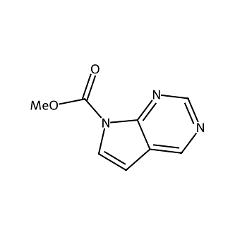 COC(=O)n1ccc2cncnc21